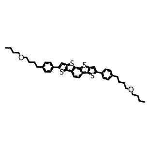 CCCCOCCCCc1ccc(-c2cc3sc4c(ccc5c6sc(-c7ccc(CCCCOCCCC)cc7)cc6sc54)c3s2)cc1